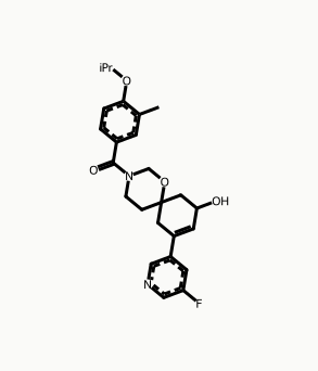 Cc1cc(C(=O)N2CCC3(CC(c4cncc(F)c4)=CC(O)C3)OC2)ccc1OC(C)C